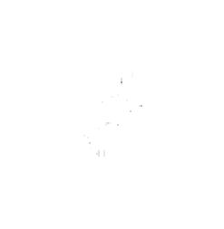 OC1CN(C(O)O)CC1O